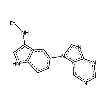 CCNc1c[nH]c2ccc(-n3cnc4ncncc43)cc12